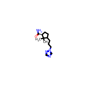 CC1(C)C(CCCn2cncn2)CC[C@@H]1C(N)=O